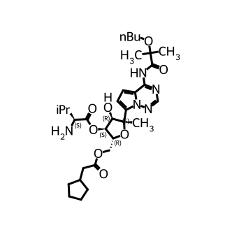 CCCCOC(C)(C)C(=O)Nc1ncnn2c([C@]3(C)O[C@H](COC(=O)CC4CCCC4)[C@@H](OC(=O)[C@@H](N)C(C)C)[C@H]3O)ccc12